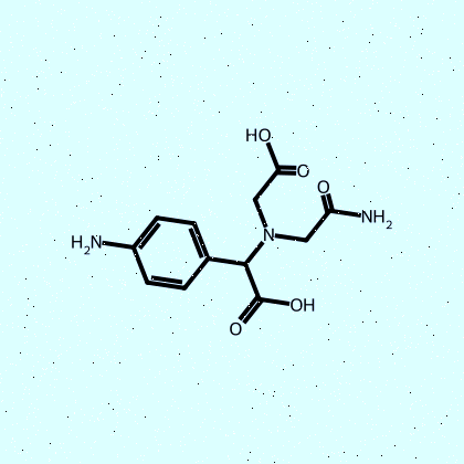 NC(=O)CN(CC(=O)O)C(C(=O)O)c1ccc(N)cc1